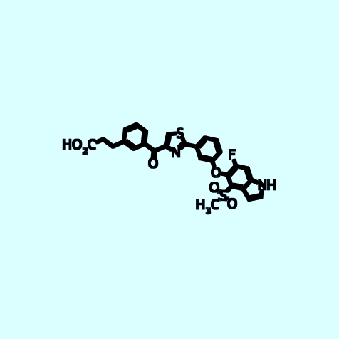 CS(=O)(=O)c1c(Oc2cccc(-c3nc(C(=O)c4cccc(CCC(=O)O)c4)cs3)c2)c(F)cc2[nH]ccc12